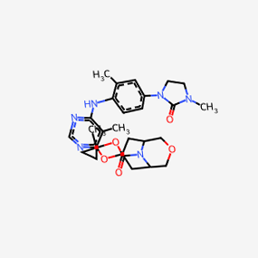 Cc1cc(N2CCN(C)C2=O)ccc1Nc1ncnc(OC2CC3COCC(C2)N3C(=O)OC2(C)CC2)c1C